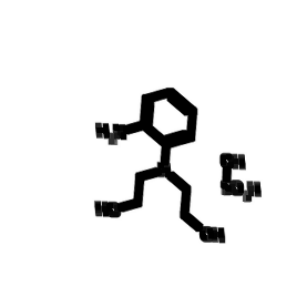 Nc1ccccc1N(CCO)CCO.O=S(=O)(O)O